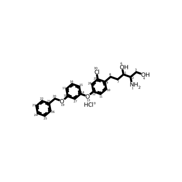 Cl.NC(CO)C(O)CCc1ccc(Oc2cccc(OCc3ccccc3)c2)cc1Cl